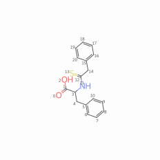 O=C(O)C(Cc1ccccc1)NC(=S)Cc1ccccc1